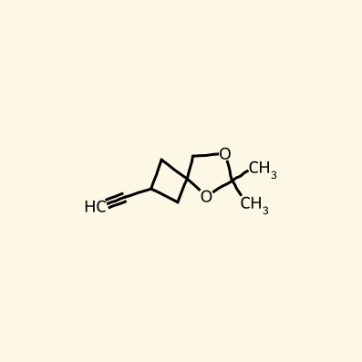 C#CC1CC2(COC(C)(C)O2)C1